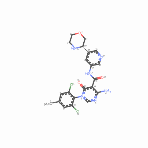 COc1cc(Cl)c(-n2cnc(N)c(C(=O)Nc3cncc([C@H]4COCCN4)c3)c2=O)c(Cl)c1